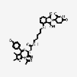 Cc1sc2c(c1C)C(c1ccc(Cl)cc1)=N[C@@H](CC(=O)NCCCCCNc1cccc3c1C(O)N(C1CCC(=O)NC1=O)C3=O)c1nnc(C)n1-2